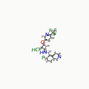 Cl.Fc1ccc2cnccc2c1CNC1CC(Oc2ccc(C(F)(F)F)nc2)C1